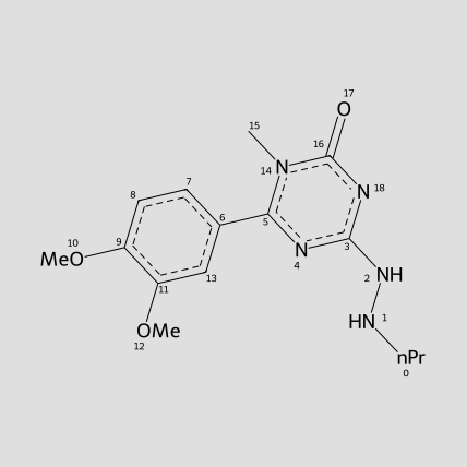 CCCNNc1nc(-c2ccc(OC)c(OC)c2)n(C)c(=O)n1